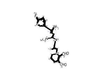 N/C(=C\C=C(/N)NC(=O)CN1CCCC(C=O)=C1C=O)c1ccc(F)nc1